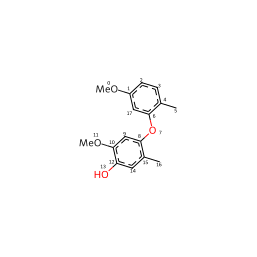 COc1ccc(C)c(Oc2cc(OC)c(O)cc2C)c1